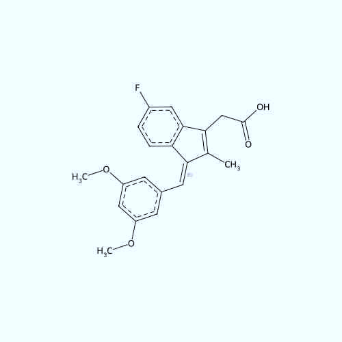 COc1cc(/C=C2/C(C)=C(CC(=O)O)c3cc(F)ccc32)cc(OC)c1